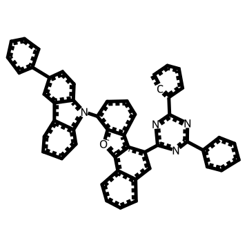 c1ccc(-c2ccc3c(c2)c2ccccc2n3-c2cccc3c2oc2c4ccccc4cc(-c4nc(-c5ccccc5)nc(-c5ccccc5)n4)c32)cc1